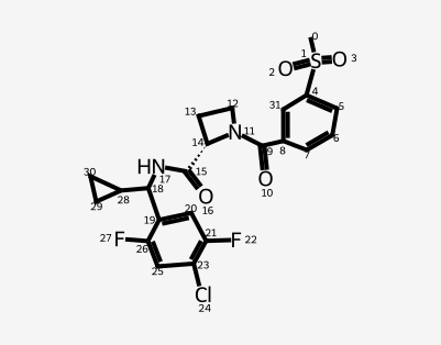 CS(=O)(=O)c1cccc(C(=O)N2CC[C@H]2C(=O)NC(c2cc(F)c(Cl)cc2F)C2CC2)c1